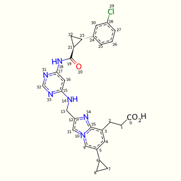 O=C(O)CCc1cc(C2CC2)cn2cc(CNc3cc(NC(=O)[C@H]4C[C@@H]4c4cccc(Cl)c4)ncn3)nc12